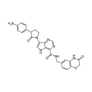 Bc1ccc(C2CCN(c3c[nH]c4c(C(=O)NCc5ccc6c(c5)NC(=O)CO6)ncnc34)C2=O)cc1